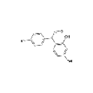 O=CC(c1ccc(Br)cc1)c1ccc(O)cc1O